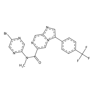 CN(C(=O)c1cn2c(-c3ccc(C(F)(F)F)cc3)cnc2cn1)c1cnc(Br)cn1